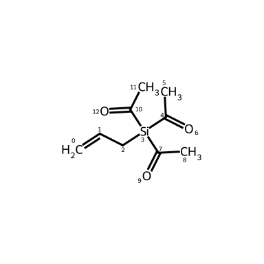 C=CC[Si](C(C)=O)(C(C)=O)C(C)=O